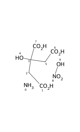 N.O=C(O)CC(O)(CC(=O)O)C(=O)O.O=[N+]([O-])O